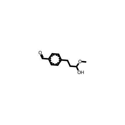 COC(O)CCc1ccc(C=O)cc1